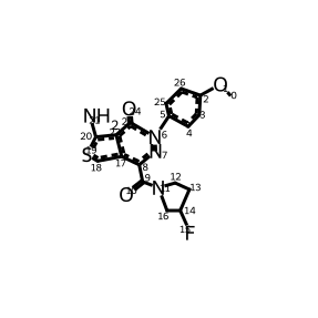 COc1ccc(-n2nc(C(=O)N3CCC(F)C3)c3csc(N)c3c2=O)cc1